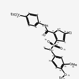 CCOC(=O)c1ccc(NC(=O)c2sc(Cl)cc2S(=O)(=O)N(C)c2ccc(OCC)c(OC)c2)cc1